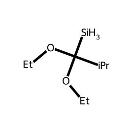 CCOC([SiH3])(OCC)C(C)C